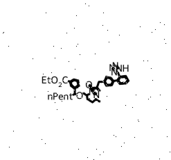 CCCCCC(OCC1CCC(C)n2cc(Cc3ccc(-c4ccccc4-c4nnn[nH]4)cc3)c(=O)n21)c1cccc(C(=O)OCC)c1